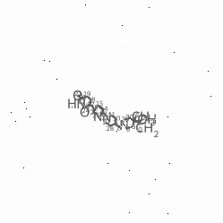 C=C(O)C1(C)CCN(CC2CCN(c3ccc(C4CCC(=O)NC4=O)cn3)CC2)CC1